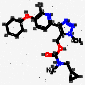 CCc1nc(-c2nnn(C)c2COC(=O)N(C)CC2CC2)ccc1OC1CCCCC1